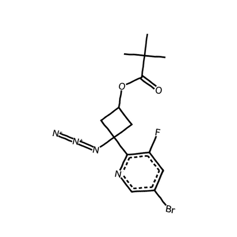 CC(C)(C)C(=O)OC1CC(N=[N+]=[N-])(c2ncc(Br)cc2F)C1